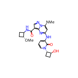 CNc1cc(Nc2cccn([C@H]3CC[C@@H]3O)c2=O)nc2c(C(=O)NC3CC[C@H]3OC)cnn12